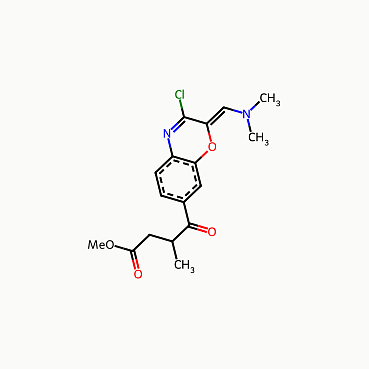 COC(=O)CC(C)C(=O)c1ccc2c(c1)OC(=CN(C)C)C(Cl)=N2